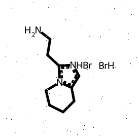 Br.Br.NCCc1ncc2n1CCCC2